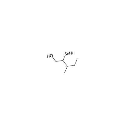 CCC(C)[CH]([SnH])CO